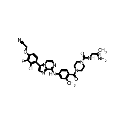 Cc1cc(Nc2nccn3c(-c4ccc(OCC#N)c(F)c4Cl)cnc23)ccc1C(=O)N1CCN(C(=O)NC[C@@H](C)N)CC1